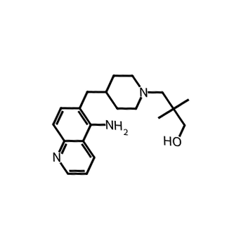 CC(C)(CO)CN1CCC(Cc2ccc3ncccc3c2N)CC1